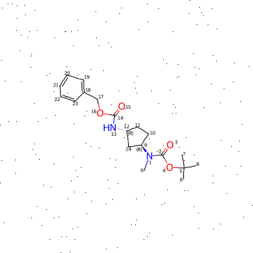 CN(C(=O)OC(C)(C)C)[C@@H]1CC[C@@H](NC(=O)OCc2ccccc2)C1